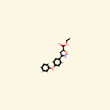 CCOC(=O)C1CC(c2ccc(Oc3ccccc3)cc2)=NO1